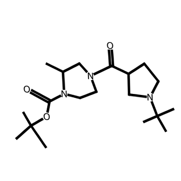 CC1CN(C(=O)C2CCN(C(C)(C)C)C2)CCN1C(=O)OC(C)(C)C